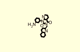 Nc1cccc(-n2c(=O)n(Cc3ccc4ccccc4n3)c(=O)c3cccnc32)c1